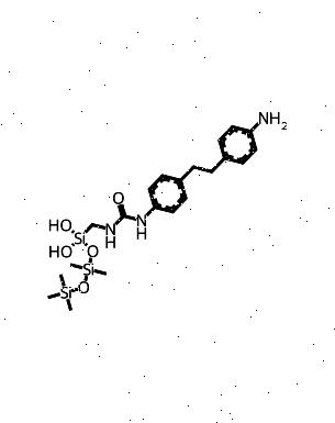 C[Si](C)(C)O[Si](C)(C)O[Si](O)(O)CNC(=O)Nc1ccc(CCc2ccc(N)cc2)cc1